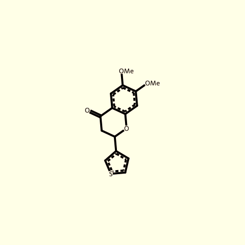 COc1cc2c(cc1OC)C(=O)CC(c1ccsc1)O2